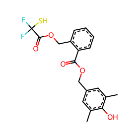 Cc1cc(COC(=O)c2ccccc2COC(=O)C(F)(F)S)cc(C)c1O